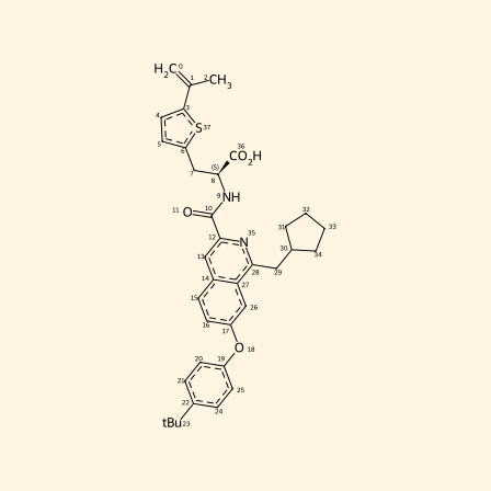 C=C(C)c1ccc(C[C@H](NC(=O)c2cc3ccc(Oc4ccc(C(C)(C)C)cc4)cc3c(CC3CCCC3)n2)C(=O)O)s1